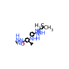 CC(C)=CCN1N=C(c2cccc(Nc3ccc(C(=O)N=C4NCCN4)cc3C3CC3)c2)NN1